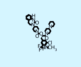 CNc1c(Cl)cc(C[C@@H](OC(=O)N2CCC(N3CCc4ccccc4NC3=O)CC2)C(=O)N2CCC(N3CCCCC3)CC2)cc1C(F)(F)F